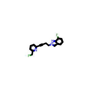 FCc1cccc(C#CCCn2cc3cccc(F)c3n2)n1